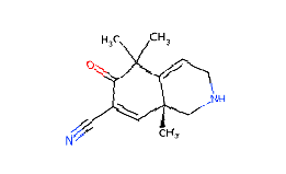 CC1(C)C(=O)C(C#N)=C[C@@]2(C)CNCC=C12